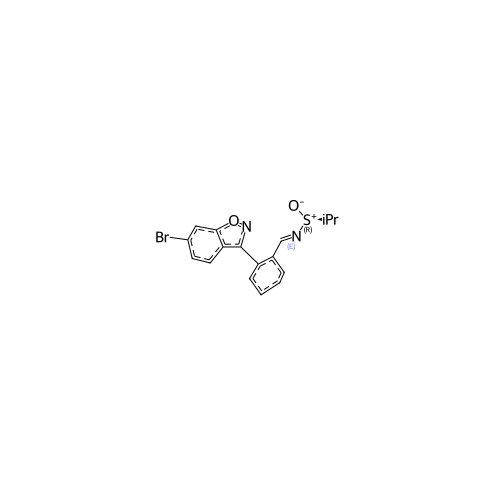 CC(C)[S@+]([O-])/N=C/c1ccccc1-c1noc2cc(Br)ccc12